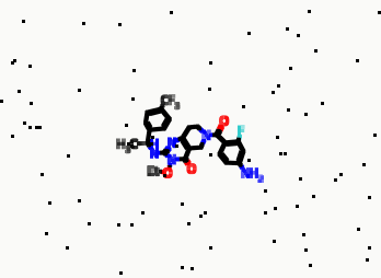 CCOn1c(N[C@@H](C)c2ccc(C(F)(F)F)cc2)nc2c(c1=O)CN(C(=O)c1ccc(N)cc1F)CC2